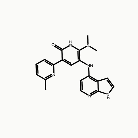 Cc1cccc(-c2cc(Nc3ccnc4[nH]ccc34)c(N(C)C)[nH]c2=O)n1